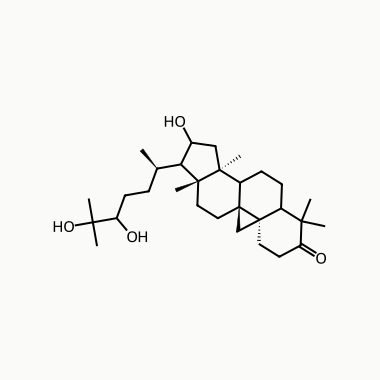 C[C@H](CCC(O)C(C)(C)O)C1C(O)C[C@@]2(C)C3CCC4C(C)(C)C(=O)CC[C@@]45C[C@@]35CC[C@]12C